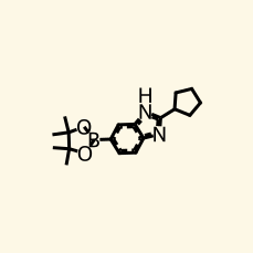 CC1(C)OB(c2ccc3nc(C4CCCC4)[nH]c3c2)OC1(C)C